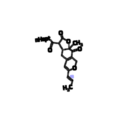 C/C=C/C1=CC2=C(CO1)C(=O)C1(C)OC(=O)C(C(=O)CCCCCCC)C1C2